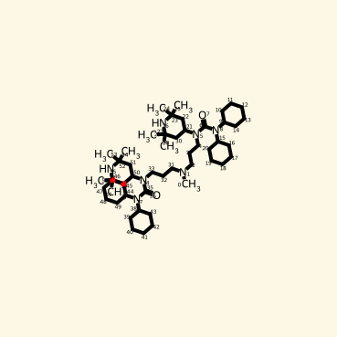 CN(CCCN(C(=O)N(C1CCCCC1)C1CCCCC1)C1CC(C)(C)NC(C)(C)C1)CCCN(C(=O)N(C1CCCCC1)C1CCCCC1)C1CC(C)(C)NC(C)(C)C1